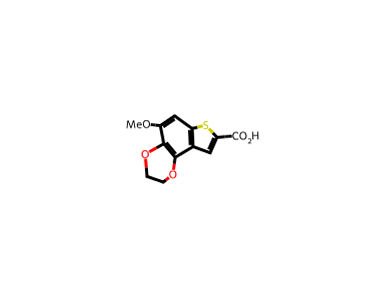 COc1cc2sc(C(=O)O)cc2c2c1OCCO2